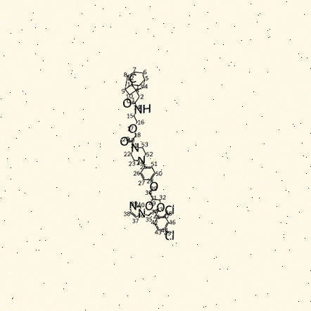 O=C(CC12CC3CC4CC(C1)C2(C4)C3)NCCOCC(=O)N1CCN(c2ccc(OC[C@H]3CO[C@](Cn4ccnc4)(c4ccc(Cl)cc4Cl)O3)cc2)CC1